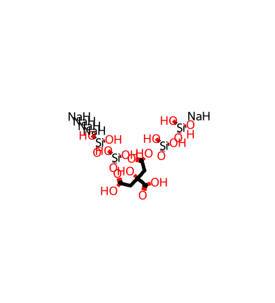 O=C(O)CC(O)(CC(=O)O)C(=O)O.O=[Si](O)O.O=[Si](O)O.O=[Si](O)O.O=[Si](O)O.[NaH].[NaH].[NaH].[NaH].[NaH]